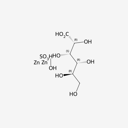 O=C(O)[C@H](O)[C@@H](O)[C@H](O)[C@H](O)CO.O=S(=O)(O)O.[Zn].[Zn]